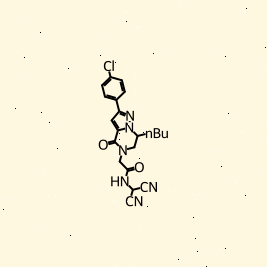 CCCCC1CN(CC(=O)NC(C#N)C#N)C(=O)c2cc(-c3ccc(Cl)cc3)nn21